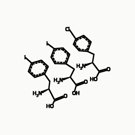 N[C@@H](Cc1ccc(Cl)cc1)C(=O)O.N[C@@H](Cc1ccc(I)cc1)C(=O)O.N[C@@H](Cc1ccc(I)cc1)C(=O)O